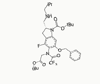 CC(C)CNC[C@H]1Cc2c(cc(OCc3ccccc3)c(N(CC(=O)OC(C)(C)C)C(=O)C(F)(F)F)c2F)N1C(=O)OC(C)(C)C